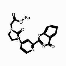 CC(C)(C)OC(=O)CN1CCN(c2ccnc(-c3nc(=O)c4ccccc4s3)c2)C1=O